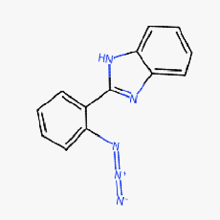 [N-]=[N+]=Nc1ccccc1-c1nc2ccccc2[nH]1